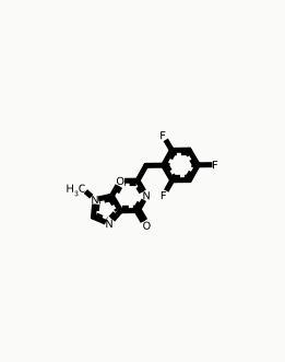 Cn1cnc2c(=O)nc(Cc3c(F)cc(F)cc3F)oc21